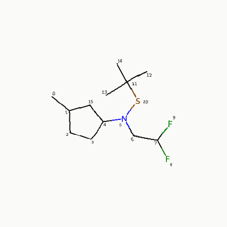 CC1CCC(N(CC(F)F)SC(C)(C)C)C1